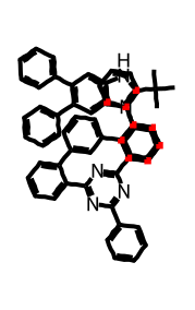 CC(C)(C)C1Nc2cc(-c3ccccc3)c(-c3ccccc3)cc2N1c1ccccc1-c1cccc(-c2ccccc2-c2nc(-c3ccccc3)nc(-c3cccc(-c4ccccc4)c3)n2)c1